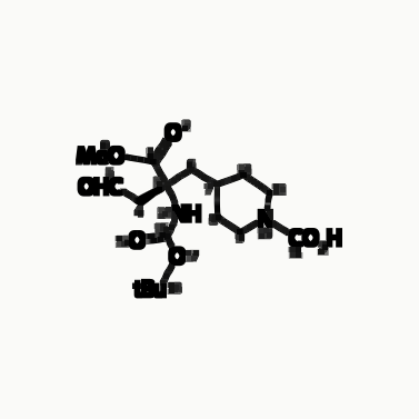 COC(=O)[C@](CC=O)(CC1CCN(C(=O)O)CC1)NC(=O)OC(C)(C)C